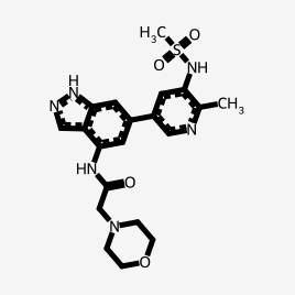 Cc1ncc(-c2cc(NC(=O)CN3CCOCC3)c3cn[nH]c3c2)cc1NS(C)(=O)=O